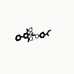 CCC(C)c1ccc(OCCOc2c(C(C)OC)cc(-c3ccccc3)cc2C(C)OC)cc1